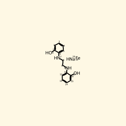 Oc1ccccc1NCCNc1ccccc1O.[Fe].[NaH]